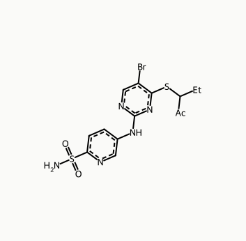 CCC(Sc1nc(Nc2ccc(S(N)(=O)=O)nc2)ncc1Br)C(C)=O